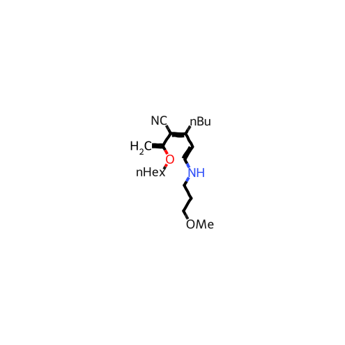 C=C(OCCCCCC)/C(C#N)=C(\C=C\NCCCOC)CCCC